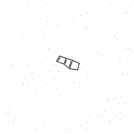 c1cc2c3c(c1=2)CC3